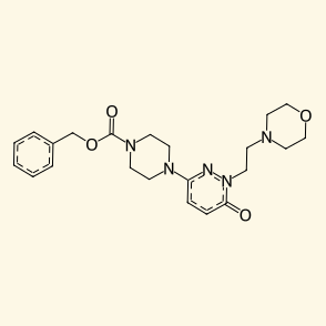 O=C(OCc1ccccc1)N1CCN(c2ccc(=O)n(CCN3CCOCC3)n2)CC1